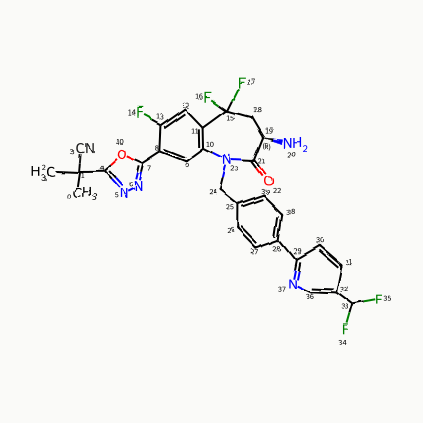 CC(C)(C#N)c1nnc(-c2cc3c(cc2F)C(F)(F)C[C@@H](N)C(=O)N3Cc2ccc(-c3ccc(C(F)F)cn3)cc2)o1